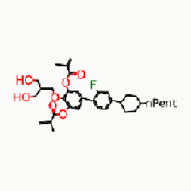 C=C(C)C(=O)Oc1cc(-c2ccc(C3CCC(CCCCC)CC3)cc2F)cc(OC(=O)C(=C)C)c1OCC(CO)CO